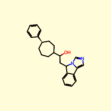 OC(CC1c2ccccc2-c2cncn21)C1CCC[C@@H](c2ccccc2)CC1